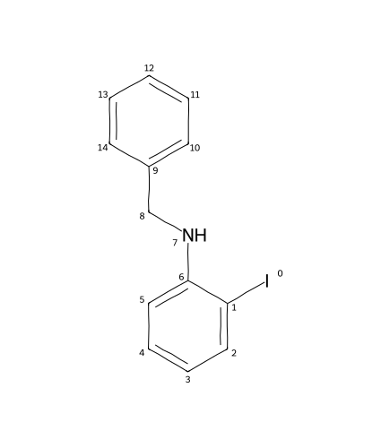 Ic1ccccc1NCc1ccccc1